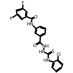 O=C(NNC(=S)Nc1ccccc1Cl)c1cccc(NC(=O)c2cc(F)cc(F)c2)c1